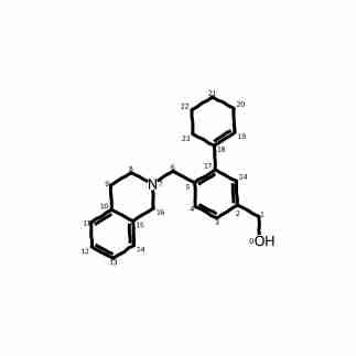 OCc1ccc(CN2CCc3ccccc3C2)c(C2=CCCCC2)c1